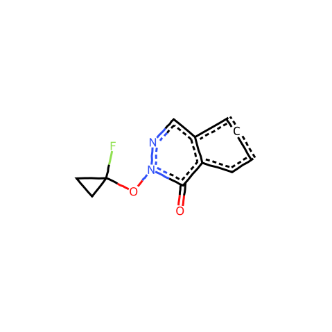 O=c1c2ccccc2cnn1OC1(F)CC1